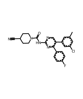 Cc1cc(Cl)cc(-c2cnc(NC(=O)N3CCC(C#N)CC3)nc2-c2ccc(F)cc2)c1